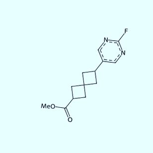 COC(=O)C1CC2(C1)CC(c1cnc(F)nc1)C2